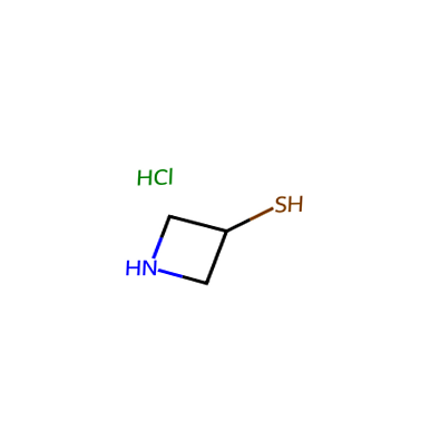 Cl.SC1CNC1